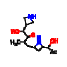 CC(=O)C(O)C1CC(CC(C)C(=O)C(O)C2CNC2)N1